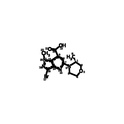 C[C@@H]1COCCN1c1cc(C(=O)O)c2c(n1)c(Br)nn2C